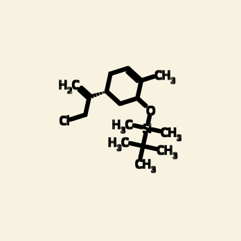 C=C(CCl)[C@@H]1CC=C(C)C(O[Si](C)(C)C(C)(C)C)C1